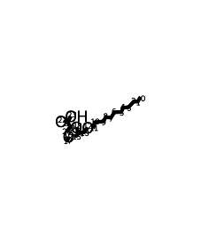 CCCCCCCCCCCCOCC(COC)OC(C)C(=O)O